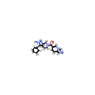 Cn1nc2c(c1-c1ccccc1)CCN(C(=O)c1ccc3cncn3c1)C2